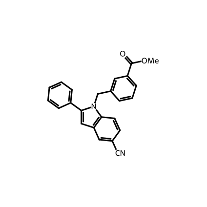 COC(=O)c1cccc(Cn2c(-c3ccccc3)cc3cc(C#N)ccc32)c1